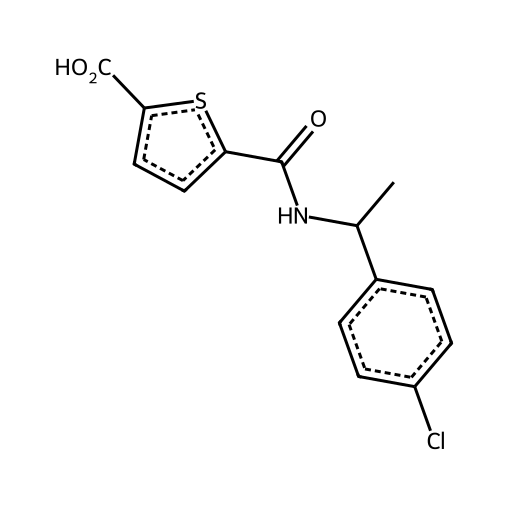 CC(NC(=O)c1ccc(C(=O)O)s1)c1ccc(Cl)cc1